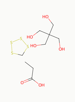 C1SSSS1.CCC(=O)O.OCC(CO)(CO)CO